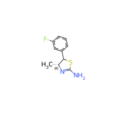 C[C@H]1N=C(N)SC1c1cccc(F)c1